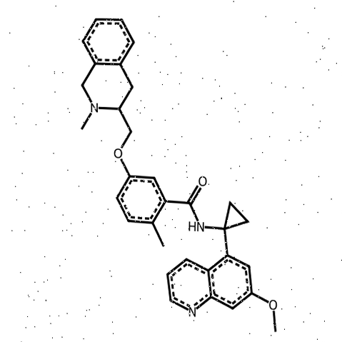 COc1cc(C2(NC(=O)c3cc(OCC4Cc5ccccc5CN4C)ccc3C)CC2)c2cccnc2c1